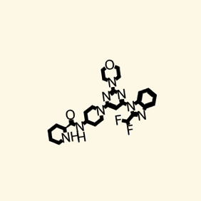 O=C(NC1CCN(c2cc(-n3c(C(F)F)nc4ccccc43)nc(N3CCOCC3)n2)CC1)[C@@H]1CCCCN1